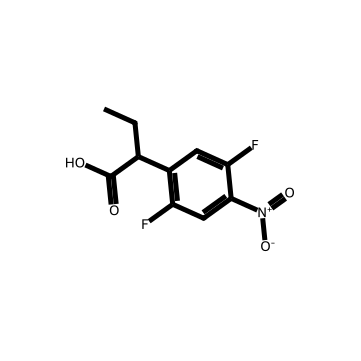 CCC(C(=O)O)c1cc(F)c([N+](=O)[O-])cc1F